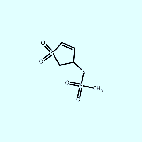 CS(=O)(=O)SC1C=CS(=O)(=O)C1